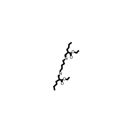 CCCCC(C=NCCCCCN=CC(CCCC)C(=O)OCC)C(=O)OCC